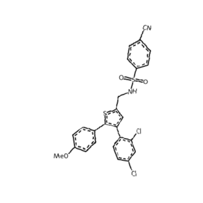 COc1ccc(-c2sc(CNS(=O)(=O)c3ccc(C#N)cc3)cc2-c2ccc(Cl)cc2Cl)cc1